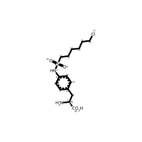 N[C@@H](Cc1ccc(NS(=O)(=O)CCCCCCCl)cc1)C(=O)O